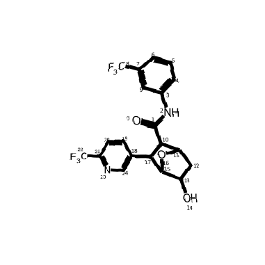 O=C(Nc1cccc(C(F)(F)F)c1)C1C2CC(O)C(O2)C1c1ccc(C(F)(F)F)nc1